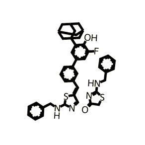 O=C1CSC(NCc2ccccc2)=N1.Oc1c(F)cc(-c2cccc(C=C3C=NC(NCc4ccccc4)S3)c2)cc1C12CC3CC(CC(C3)C1)C2